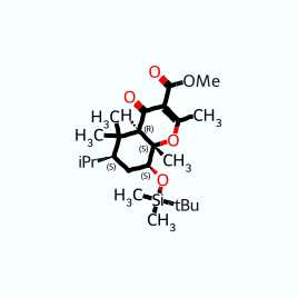 COC(=O)C1=C(C)O[C@]2(C)[C@@H](O[Si](C)(C)C(C)(C)C)C[C@@H](C(C)C)C(C)(C)[C@H]2C1=O